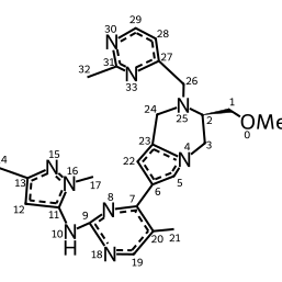 COC[C@H]1Cn2cc(-c3nc(Nc4cc(C)nn4C)ncc3C)cc2CN1Cc1ccnc(C)n1